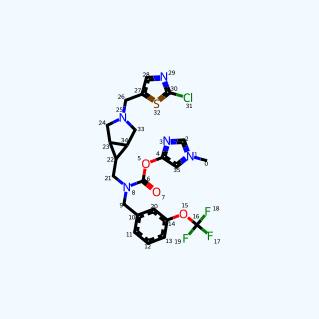 Cn1cnc(OC(=O)N(Cc2cccc(OC(F)(F)F)c2)CC2C3CN(Cc4cnc(Cl)s4)CC32)c1